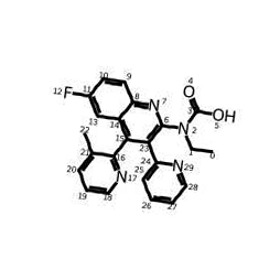 CCN(C(=O)O)c1nc2ccc(F)cc2c(-c2ncccc2C)c1-c1ccccn1